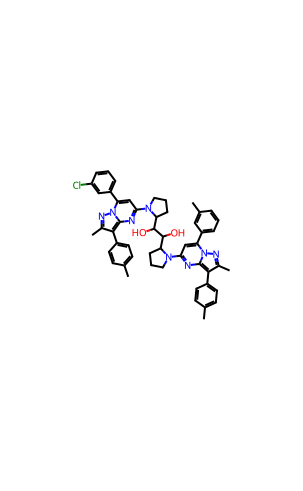 Cc1ccc(-c2c(C)nn3c(-c4cccc(C)c4)cc(N4CCCC4C(O)C(O)C4CCCN4c4cc(-c5cccc(Cl)c5)n5nc(C)c(-c6ccc(C)cc6)c5n4)nc23)cc1